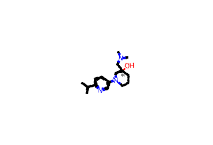 CC(C)c1ccc(N2CCC[C@@](O)(CN(C)C)C2)cn1